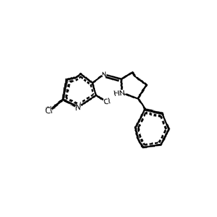 Clc1ccc(N=C2CCC(c3ccccc3)N2)c(Cl)n1